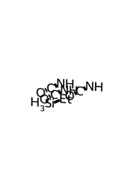 CC[SiH3].N=C=O.N=C=O.N=C=O